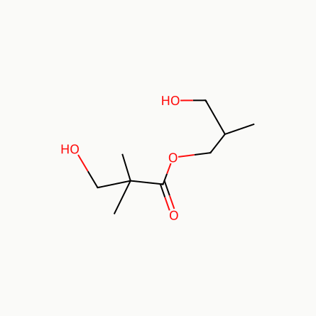 CC(CO)COC(=O)C(C)(C)CO